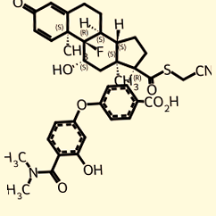 CN(C)C(=O)c1ccc(Oc2ccc(C(=O)O)c([C@@]3(C(=O)SCC#N)CC[C@H]4[C@@H]5CCC6=CC(=O)C=C[C@]6(C)[C@@]5(F)[C@@H](O)C[C@@]43C)c2)cc1O